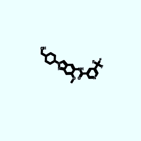 COc1cc2nn(C3CCC(CO)CC3)cc2cc1NC(=O)c1cncc(C(F)(F)F)c1